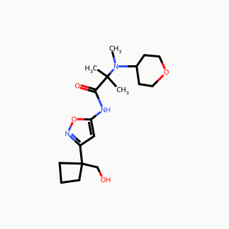 CN(C1CCOCC1)C(C)(C)C(=O)Nc1cc(C2(CO)CCC2)no1